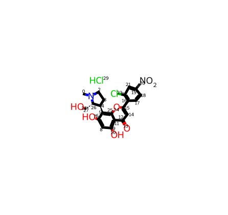 CN1CC[C@@H](c2c(O)cc(O)c3c(=O)cc(-c4ccc([N+](=O)[O-])cc4Cl)oc23)[C@@H]1CO.Cl